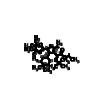 CCOC(=O)C(OC(C)(C)C)c1c(C)sc(B2OC(C)(C)C(C)(C)O2)c1C1=CCC(C)(C)CC1